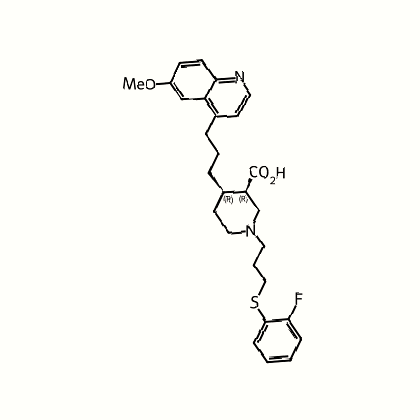 COc1ccc2nccc(CCC[C@@H]3CCN(CCCSc4ccccc4F)C[C@@H]3C(=O)O)c2c1